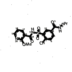 CCCNC(=O)c1ccc(Cl)c(S(=O)(=O)NC(=O)c2cccnc2OC)c1